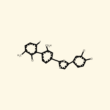 Cc1ccc(F)c(-c2ccc(-c3nc(-c4ccc(Cl)c(Cl)c4)cs3)cc2C(=O)O)c1Cl